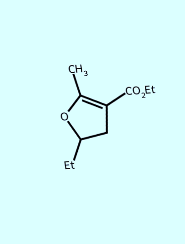 CCOC(=O)C1=C(C)OC(CC)C1